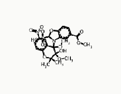 COC(=O)c1ccc2c(c1)N(C1(OC)c3cc([N+](=O)[O-])ccc3OC(C)(C)C1(O)OC)C(S(=O)(=O)O)O2